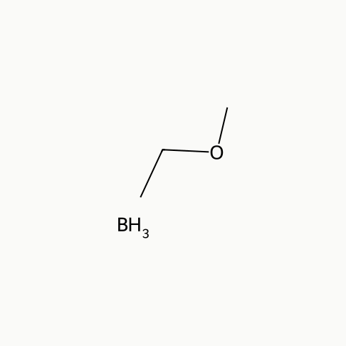 B.CCOC